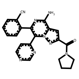 N#Cc1ccccc1-c1nc(N)c2cc(C(=O)N3CCCC3)nn2c1-c1ccncn1